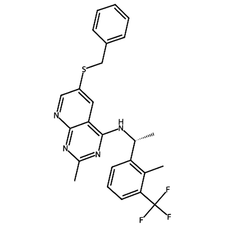 Cc1nc(N[C@H](C)c2cccc(C(F)(F)F)c2C)c2cc(SCc3ccccc3)cnc2n1